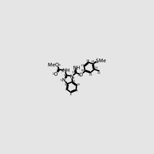 COC(=O)Nc1nc2ccccc2n1C(=N)Oc1ccc(SC)c(C)c1